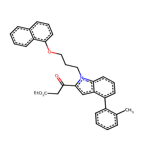 CCOC(=O)CC(=O)c1cc2c(-c3ccccc3C)cccc2n1CCCOc1cccc2ccccc12